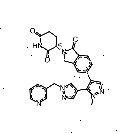 Cn1ncc(-c2ccc3c(c2)CN([C@H]2CCC(=O)NC2=O)C3=O)c1-c1cnn(Cc2cccnc2)c1